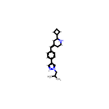 CC(C)Cn1cc(-c2ccc(C=C3CCNC(C4CCC4)C3)cc2)cn1